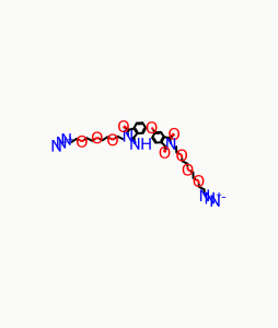 [N-]=[N+]=NCCOCCOCCOCCN1C(=N)c2cc(Oc3ccc4c(c3)C(=O)N(CCOCCOCCOCCN=[N+]=[N-])C4=O)ccc2C1=O